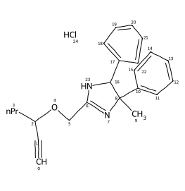 C#CC(CCC)OCC1=NC(C)(c2ccccc2)C(c2ccccc2)N1.Cl